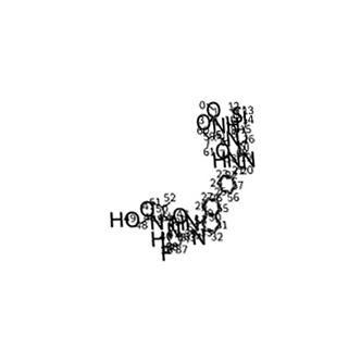 COC(=O)N[C@H](C(=O)N1C2C[Si](C)(C)CC2C[C@H]1c1ncc(-c2ccc(-c3ccc4c(ccc5nc([C@@H]6C[C@@H](F)CN6C(=O)[C@@H](NC(=O)CO)C(C)C)[nH]c54)c3)cc2)[nH]1)C(C)C